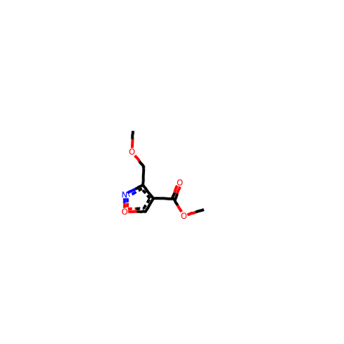 COCc1nocc1C(=O)OC